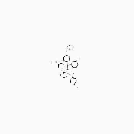 COc1cc(CN2CCCC2)ccc1C1(N2C[C@H](O)C[C@H]2c2ncco2)C(=O)N(S(=O)(=O)c2ccc(C#N)cc2)c2ccc(Cl)cc21